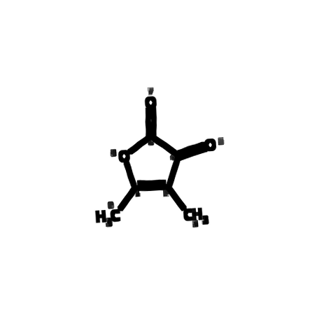 CC1=C(C)C(=O)C(=O)O1